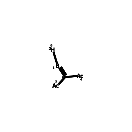 [2H]B=C(C(C)=O)C(C)=O